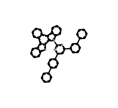 c1ccc(-c2ccc(-c3cc(-c4cccc(-c5ccccc5)c4)nc(-n4c5ccccc5c5c6ccccc6c6c7ccccc7sc6c54)n3)cc2)cc1